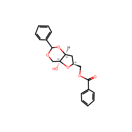 O=C(OC[C@@H]1C[C@@H]2OC(c3ccccc3)OC[C@]2(O)O1)c1ccccc1